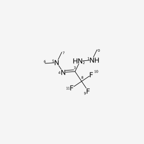 CNN/C(=N\N(C)C)C(F)(F)F